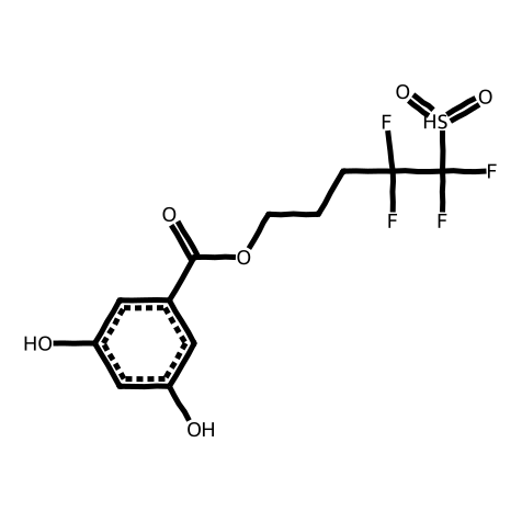 O=C(OCCCC(F)(F)C(F)(F)[SH](=O)=O)c1cc(O)cc(O)c1